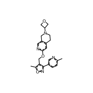 Cc1ccc(-c2noc(C)c2COc2cc3c(cn2)CN(C2COC2)CC3)cn1